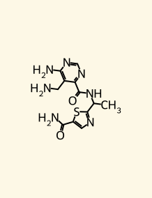 CC(NC(=O)c1ncnc(N)c1CN)c1ncc(C(N)=O)s1